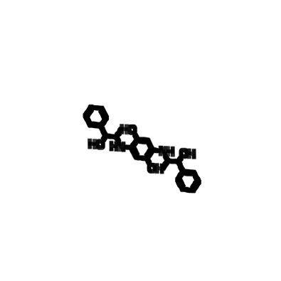 CC(Nc1cc(O)c(NC(C)C(O)c2ccccc2)cc1O)C(O)c1ccccc1